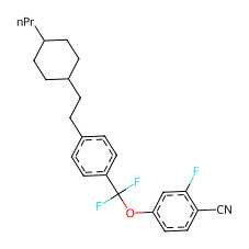 CCCC1CCC(CCc2ccc(C(F)(F)Oc3ccc(C#N)c(F)c3)cc2)CC1